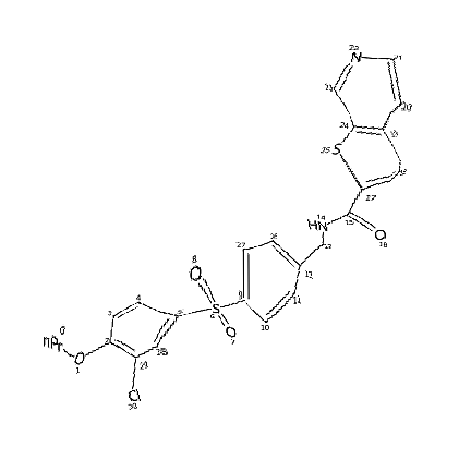 CCCOc1ccc(S(=O)(=O)c2ccc(CNC(=O)c3cc4ccncc4s3)cc2)cc1Cl